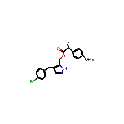 COc1ccc(C(C(=O)OCc2[nH]ccc2Cc2ccc(Br)cc2)C(C)C)cc1